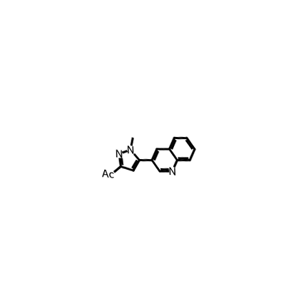 CC(=O)c1cc(-c2cnc3ccccc3c2)n(C)n1